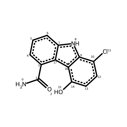 NC(=O)c1cccc2[nH]c3c(Cl)ccc(O)c3c12